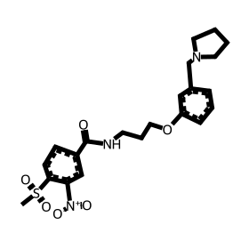 CS(=O)(=O)c1ccc(C(=O)NCCCOc2cccc(CN3CCCC3)c2)cc1[N+](=O)[O-]